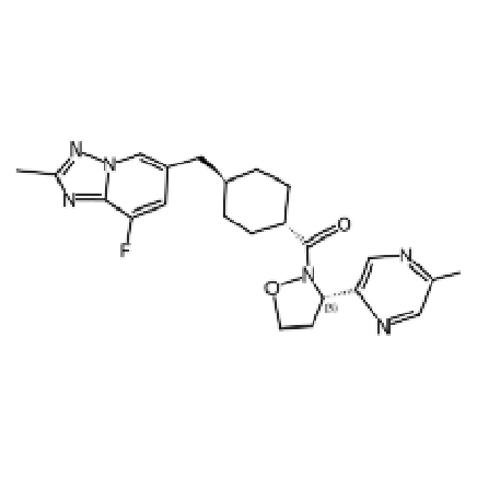 Cc1cnc([C@@H]2CCON2C(=O)[C@H]2CC[C@H](Cc3cc(F)c4nc(C)nn4c3)CC2)cn1